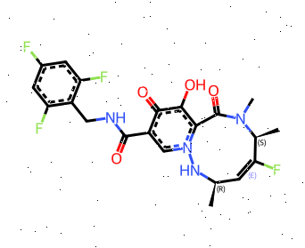 C[C@@H]1/C=C(/F)[C@H](C)N(C)C(=O)c2c(O)c(=O)c(C(=O)NCc3c(F)cc(F)cc3F)cn2N1